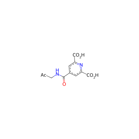 CC(=O)CNC(=O)c1cc(C(=O)O)nc(C(=O)O)c1